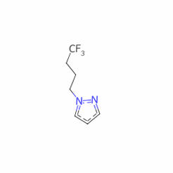 FC(F)(F)CCCn1cccn1